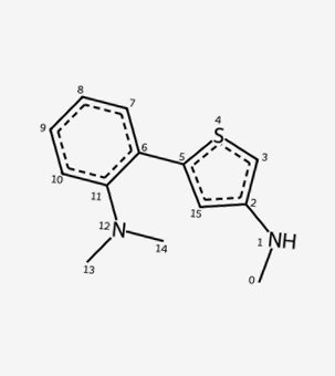 CNc1csc(-c2ccccc2N(C)C)c1